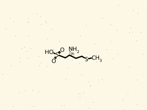 CSCC[C@@H](N)CS(=O)(=O)O